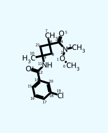 CON(C)C(=O)C1(C)CC(C)(NC(=O)c2cccc(Cl)c2)C1